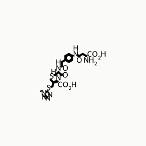 Cn1nnnc1SCC1=C(C(=O)O)N2C(=O)[C@@H](NC(=O)Cc3ccc(NC(=O)C[C@@H](N)C(=O)O)cc3)[C@H]2SC1